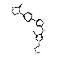 COCCn1cc(Nc2nc(-c3ccc(N4CCNC4=O)cc3)cs2)c(C)n1